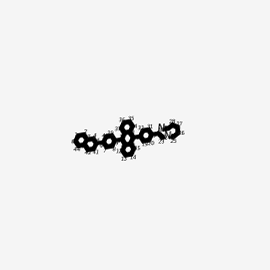 c1ccc2cc(-c3ccc(-c4c5ccccc5c(-c5ccc(-c6cn7ccccc7n6)cc5)c5ccccc45)cc3)ccc2c1